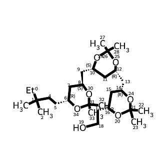 CCC(C)(C)CC[C@@H]1C[C@@H](C[C@H]2C[C@@H](C[C@H]3C[C@@H](CCO)OC(C)(C)O3)OC(C)(C)O2)OC(C)(C)O1